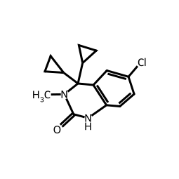 CN1C(=O)Nc2ccc(Cl)cc2C1(C1CC1)C1CC1